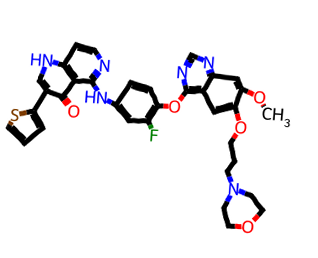 COc1cc2ncnc(Oc3ccc(Nc4nccc5[nH]cc(-c6cccs6)c(=O)c45)cc3F)c2cc1OCCCN1CCOCC1